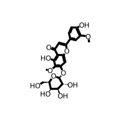 COc1cc(-c2cc(=O)c3c(O)c(OC)c(O[C@@H]4O[C@H](CO)[C@@H](O)[C@H](O)[C@H]4O)cc3o2)ccc1O